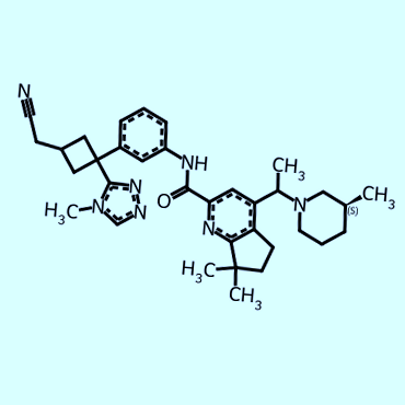 CC(c1cc(C(=O)Nc2cccc(C3(c4nncn4C)CC(CC#N)C3)c2)nc2c1CCC2(C)C)N1CCC[C@H](C)C1